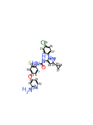 Nc1cc(Oc2ccc(NC(=O)Nc3cc(C4CC4)nn3-c3ccc(Cl)cc3)c(F)c2)ccn1